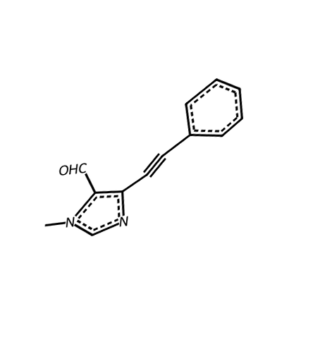 Cn1cnc(C#Cc2ccccc2)c1C=O